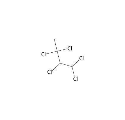 [CH2]C(Cl)(Cl)C(Cl)[C](Cl)Cl